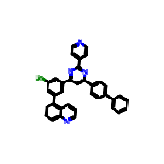 Brc1cc(-c2cc(-c3ccc(-c4ccccc4)cc3)nc(-c3ccncc3)n2)cc(-c2cccc3ncccc23)c1